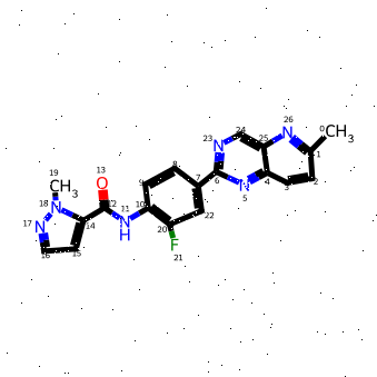 Cc1ccc2nc(-c3ccc(NC(=O)c4ccnn4C)c(F)c3)ncc2n1